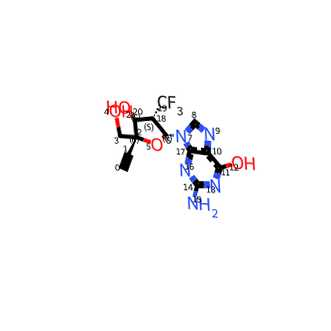 C#C[C@]1(CO)O[C@@H](n2cnc3c(O)nc(N)nc32)[C@@H](C(F)(F)F)[C@@H]1O